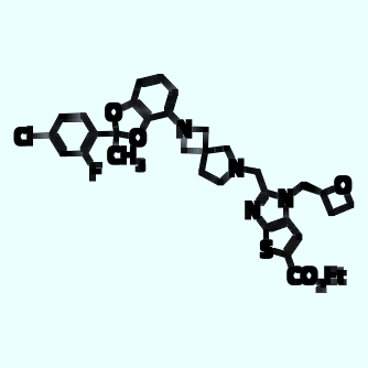 CCOC(=O)c1cc2c(nc(CN3CCC4(C3)CN(c3cccc5c3OC(C)(c3ccc(Cl)cc3F)O5)C4)n2C[C@@H]2CCO2)s1